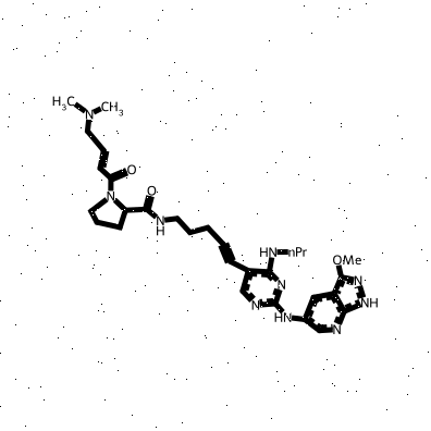 CCCNc1nc(Nc2cnc3[nH]nc(OC)c3c2)ncc1C#CCCCNC(=O)C1CCCN1C(=O)C=CCN(C)C